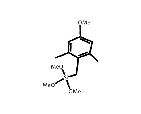 COc1cc(C)c(C[Si](OC)(OC)OC)c(C)c1